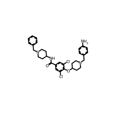 Nc1ccc(CN2CCC(Oc3c(Cl)cc(C(=O)NC4CCN(Cc5ccccc5)CC4)cc3Cl)CC2)cc1